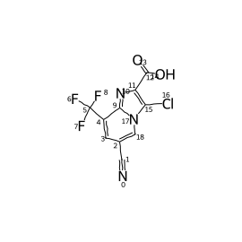 N#Cc1cc(C(F)(F)F)c2nc(C(=O)O)c(Cl)n2c1